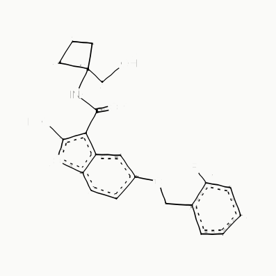 Cc1oc2ccc(OCc3ccccc3F)cc2c1C(=O)NC1(CO)CCC1